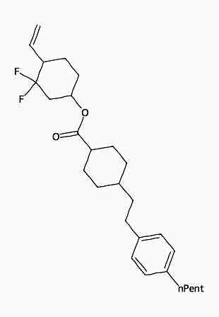 C=CC1CCC(OC(=O)C2CCC(CCc3ccc(CCCCC)cc3)CC2)CC1(F)F